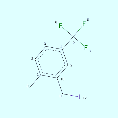 Cc1ccc(C(F)(F)F)cc1CI